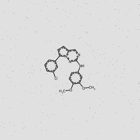 COc1ccc(Nc2ncc3ccc(-c4cccc(Cl)c4)n3n2)cc1OC